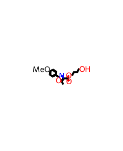 COc1ccc(-c2nc(C(=O)OCCCCO)c(C)o2)cc1